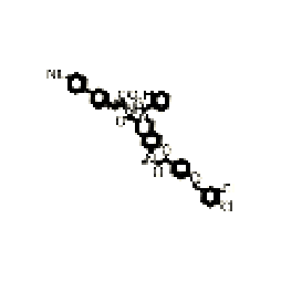 CN1C(=O)C(c2ccc(OCc3ccc(Cl)c(Cl)c3)cc2)Oc2cc3c(cc21)CC(C(=O)NC(Cc1ccc(-c2ccc(C#N)cc2)cc1)C(=O)O)N(C(C(=O)O)c1ccccc1)C3